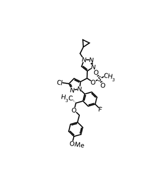 COc1ccc(CO[C@H](C)c2cc(F)ccc2-n2nc(Cl)cc2C(OS(C)(=O)=O)c2cn(CC3CC3)nn2)cc1